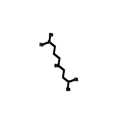 CCP(CC)CCCNCCP(CC)CC